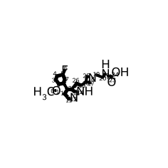 COc1ccc(F)cc1-c1ccnc2[nH]c(C3CN(CCNC(=O)O)C3)cc12